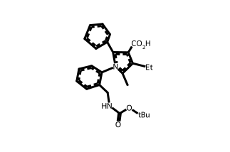 CCc1c(C(=O)O)c(-c2ccccc2)n(-c2ccccc2CNC(=O)OC(C)(C)C)c1C